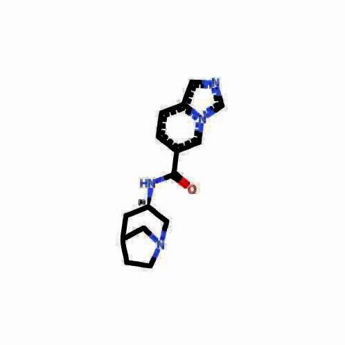 O=C(N[C@@H]1CC2CCN(C2)C1)c1ccc2cncn2c1